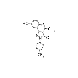 Cc1sc2ccc(O)cc2c2nn(-c3ccc(C(F)(F)F)cc3)c(=O)c1-2